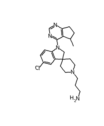 CC1CCc2ncnc(N3CC4(CCN(CCCN)CC4)c4cc(Cl)ccc43)c21